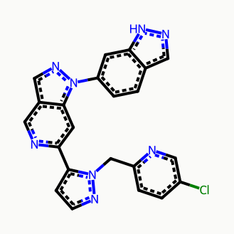 Clc1ccc(Cn2nccc2-c2cc3c(cn2)cnn3-c2ccc3cn[nH]c3c2)nc1